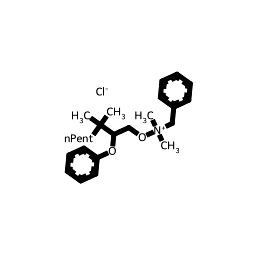 CCCCCC(C)(C)C(CO[N+](C)(C)Cc1ccccc1)Oc1ccccc1.[Cl-]